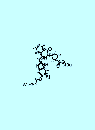 COCCOc1cc2nc(Cc3nn(C4CCN(C(=O)OC(C)(C)C)C4)c(=O)c4ccccc34)[nH]c2cc1Cl